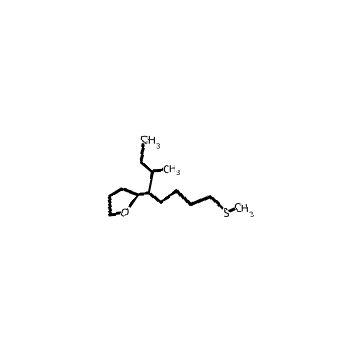 CCC(C)C(CCCCSC)C1CCCO1